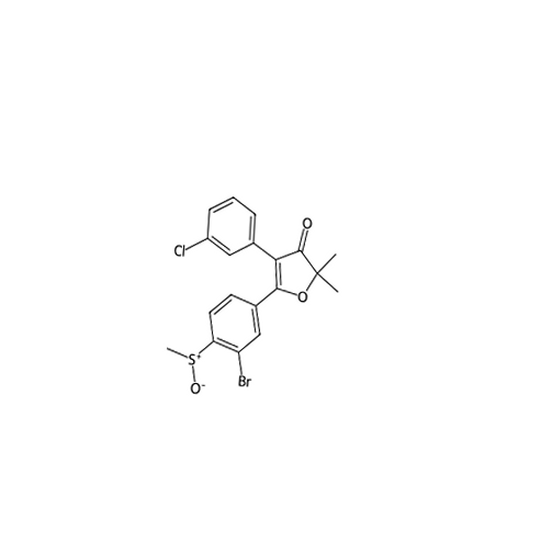 C[S+]([O-])c1ccc(C2=C(c3cccc(Cl)c3)C(=O)C(C)(C)O2)cc1Br